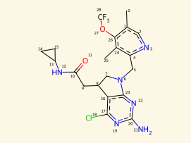 Cc1cnc(CN2CC(CC(=O)NC3CC3)c3c(Cl)nc(N)nc32)c(C)c1OC(F)(F)F